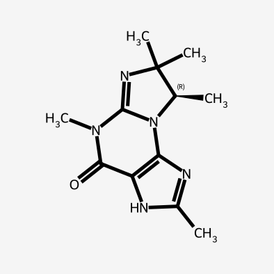 Cc1nc2c([nH]1)C(=O)N(C)C1=NC(C)(C)[C@@H](C)N12